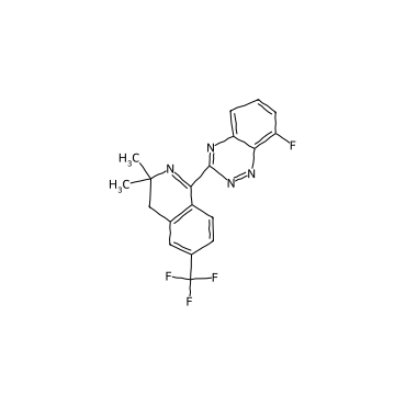 CC1(C)Cc2cc(C(F)(F)F)ccc2C(c2nnc3c(F)cccc3n2)=N1